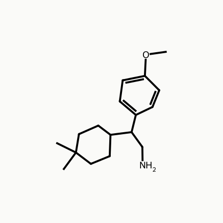 COc1ccc(C(CN)C2CCC(C)(C)CC2)cc1